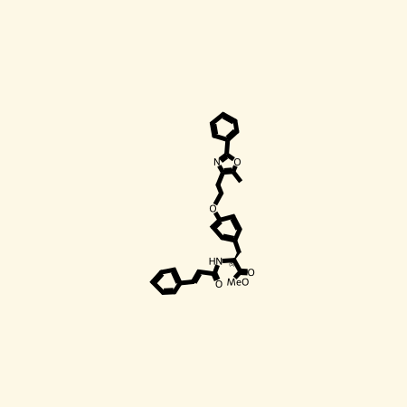 COC(=O)[C@H](Cc1ccc(OCCc2nc(-c3ccccc3)oc2C)cc1)NC(=O)C=Cc1ccccc1